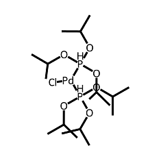 CC(C)O[PH](OC(C)C)(OC(C)C)[Pd]([Cl])[PH](OC(C)C)(OC(C)C)OC(C)C